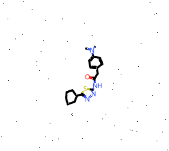 CN(C)c1ccc(CC(=O)Nc2nnc(C3CCCCC3)s2)cc1